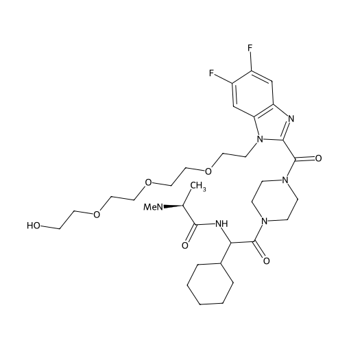 CN[C@@H](C)C(=O)NC(C(=O)N1CCN(C(=O)c2nc3cc(F)c(F)cc3n2CCOCCOCCOCCO)CC1)C1CCCCC1